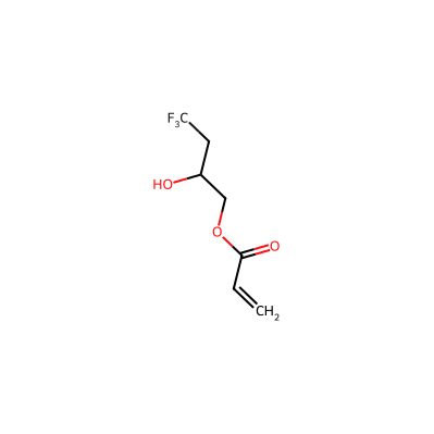 C=CC(=O)OCC(O)CC(F)(F)F